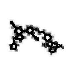 CN1CCC[C@]1(C)C(=O)N1CCC(CCOc2ccc(-c3nc(C#N)nc4c3ccn4CC3CCOC3)cc2C#N)CC1